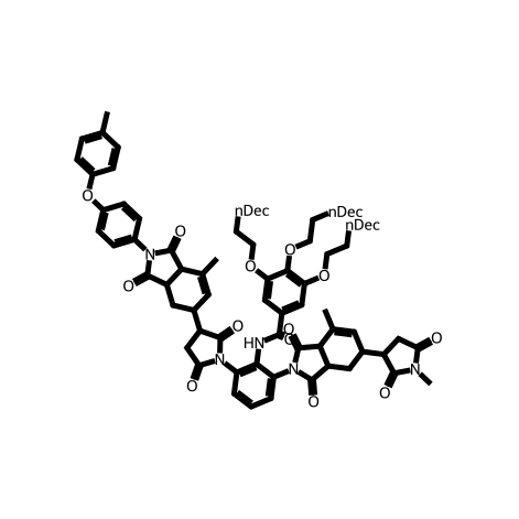 CCCCCCCCCCCCOc1cc(C(=O)Nc2c(N3C(=O)CC(C4C=C(C)C5C(=O)N(c6ccc(Oc7ccc(C)cc7)cc6)C(=O)C5C4)C3=O)cccc2N2C(=O)C3CC(C4CC(=O)N(C)C4=O)C=C(C)C3C2=O)cc(OCCCCCCCCCCCC)c1OCCCCCCCCCCCC